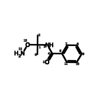 CC(C)(NC(=O)c1ccccc1)ON